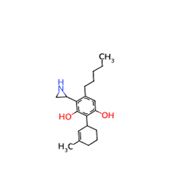 CCCCCc1cc(O)c(C2C=C(C)CCC2)c(O)c1C1CN1